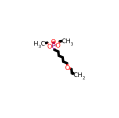 C=CCOCCCCCCP(=O)(OCC)OCC